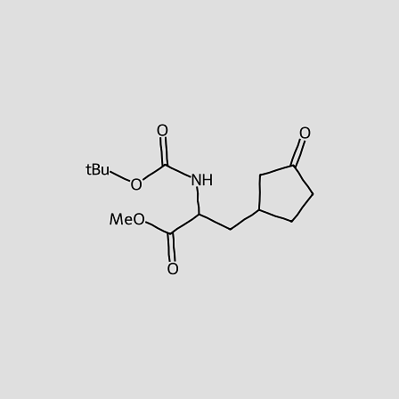 COC(=O)C(CC1CCC(=O)C1)NC(=O)OC(C)(C)C